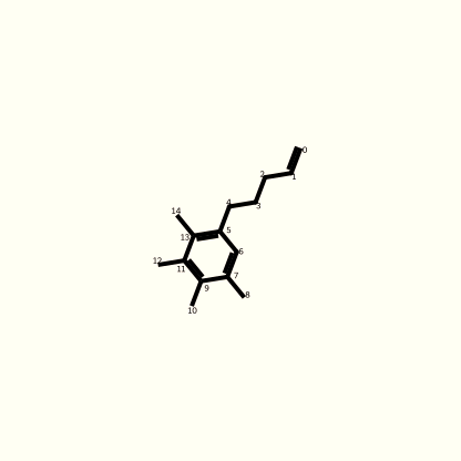 [CH]=CCCCc1cc(C)c(C)c(C)c1C